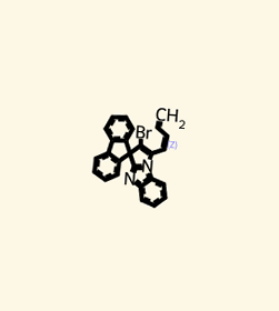 C=C/C=C\C1=C(Br)C2(c3ccccc3-c3ccccc32)c2nc3ccccc3n21